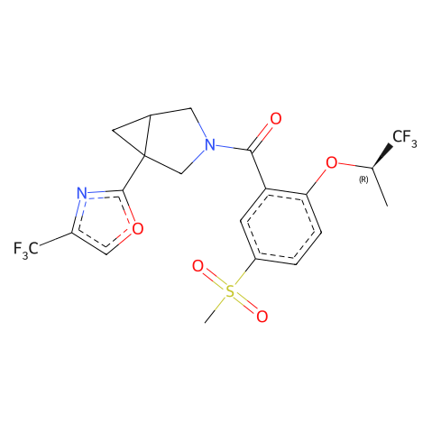 C[C@@H](Oc1ccc(S(C)(=O)=O)cc1C(=O)N1CC2CC2(c2nc(C(F)(F)F)co2)C1)C(F)(F)F